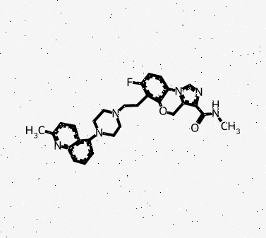 CNC(=O)c1ncn2c1COc1c-2ccc(F)c1CCN1CCN(c2cccc3nc(C)ccc23)CC1